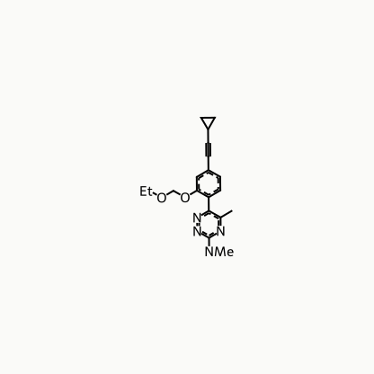 CCOCOc1cc(C#CC2CC2)ccc1-c1nnc(NC)nc1C